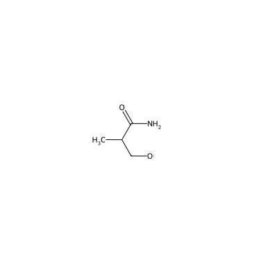 CC(C[O])C(N)=O